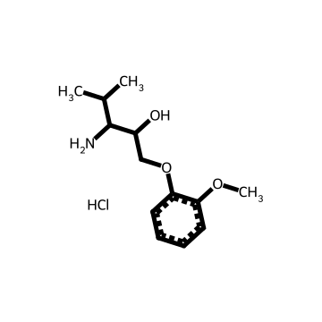 COc1ccccc1OCC(O)C(N)C(C)C.Cl